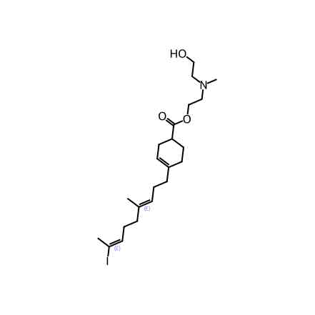 C/C(I)=C\CC/C(C)=C/CCC1=CCC(C(=O)OCCN(C)CCO)CC1